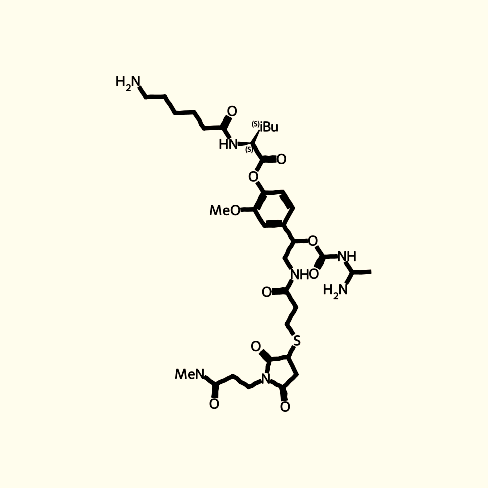 CC[C@H](C)[C@H](NC(=O)CCCCCN)C(=O)Oc1ccc(C(CNC(=O)CCSC2CC(=O)N(CCC(=O)NC)C2=O)OC(=O)NC(C)N)cc1OC